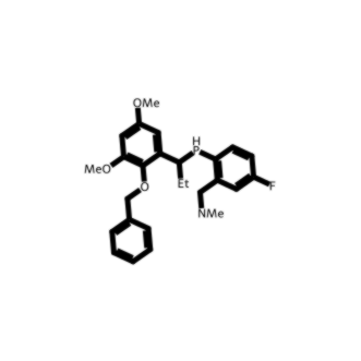 CCC(Pc1ccc(F)cc1CNC)c1cc(OC)cc(OC)c1OCc1ccccc1